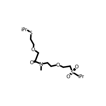 CC(C)SCCOCC(=O)N(C)CCOCCS(=O)(=O)C(C)C